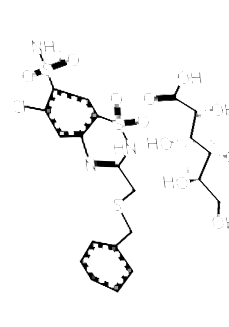 NS(=O)(=O)c1cc2c(cc1Cl)N=C(CSCc1ccccc1)NS2(=O)=O.O=C(O)[C@H](O)[C@@H](O)[C@H](O)[C@H](O)CO